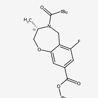 CC(C)OC(=O)c1cc(F)c2c(c1)OC[C@H](C)N(C(=O)C(C)(C)C)C2